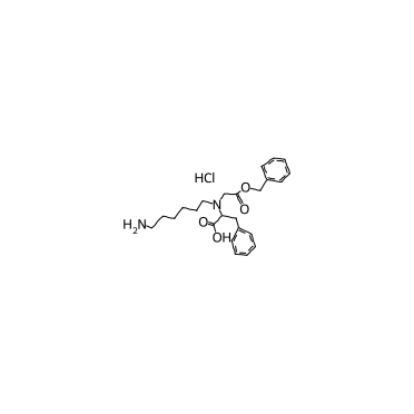 Cl.NCCCCCCN(CC(=O)OCc1ccccc1)C(Cc1ccccc1)C(=O)O